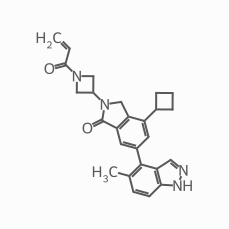 C=CC(=O)N1CC(N2Cc3c(cc(-c4c(C)ccc5[nH]ncc45)cc3C3CCC3)C2=O)C1